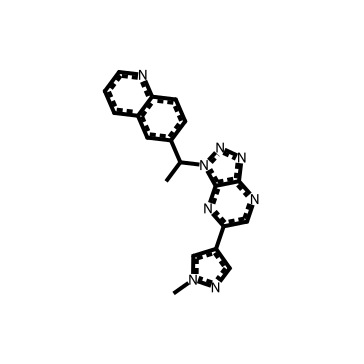 CC(c1ccc2ncccc2c1)n1nnc2ncc(-c3cnn(C)c3)nc21